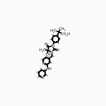 CC(C)(C(=O)O)c1ccc(N2C(=O)N(Cc3ccnc(Nc4cccnc4)c3)C(C)(C)C2=O)cc1